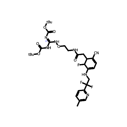 Cc1ccc(C(F)(F)CNC2=CC=C(C#N)C(CC(=O)NCCON/C(=N\C(=O)OC(C)(C)C)NC(=O)OC(C)(C)C)C2F)nc1